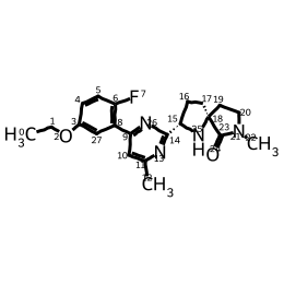 CCOc1ccc(F)c(-c2cc(C)nc([C@@H]3CC[C@@]4(CCN(C)C4=O)N3)n2)c1